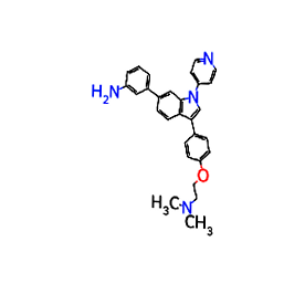 CN(C)CCOc1ccc(-c2cn(-c3ccncc3)c3cc(-c4cccc(N)c4)ccc23)cc1